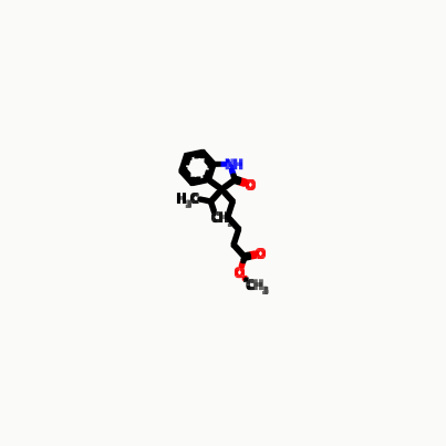 COC(=O)CCCCC1(C(C)C)C(=O)Nc2ccccc21